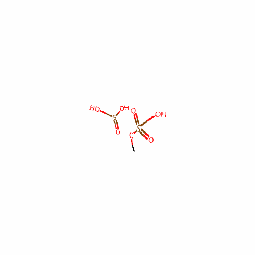 COS(=O)(=O)O.O=S(O)O